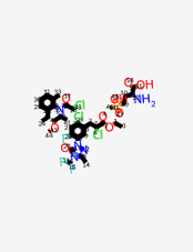 CCOC(=O)C(Cl)Cc1cc(-n2nc(C)n(C(F)F)c2=O)c(F)cc1Cl.CCc1cccc(C)c1N(C(=O)CCl)C(C)COC.CP(=O)(O)CCC(N)C(=O)O